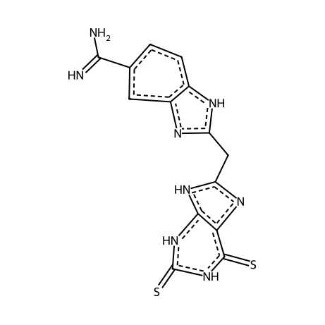 N=C(N)c1ccc2[nH]c(Cc3nc4c(=S)[nH]c(=S)[nH]c4[nH]3)nc2c1